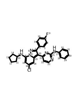 Fc1ccc(-c2nn3c(NC4CCCC4)cc(Cl)cc3c2-c2ccnc(Nc3ccccc3)n2)cc1